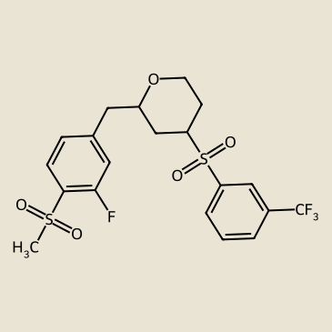 CS(=O)(=O)c1ccc(CC2CC(S(=O)(=O)c3cccc(C(F)(F)F)c3)CCO2)cc1F